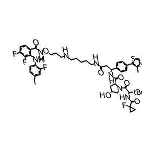 Cc1ncsc1-c1ccc([C@H](CC(=O)NCCCCCNCCCONC(=O)c2ccc(F)c(F)c2Nc2ccc(I)cc2F)NC(=O)[C@@H]2C[C@@H](O)CN2C(=O)C(NC(=O)C2(F)CC2)C(C)(C)C)cc1